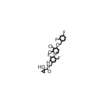 O=C(NCc1cc(F)c(-n2ccc(OCc3ccc(F)cc3F)c(Cl)c2=O)c(F)c1)C1(O)CC1